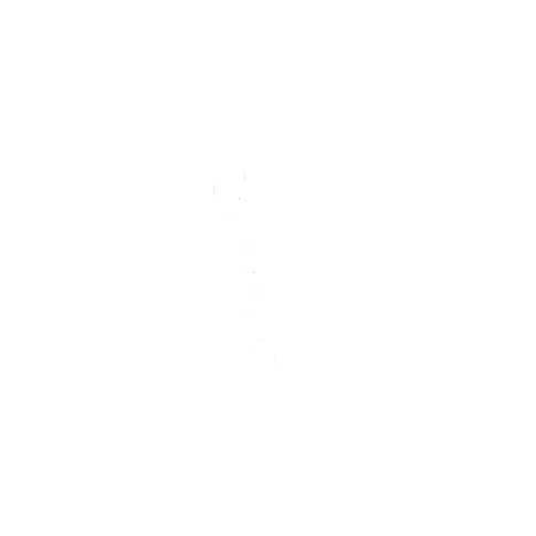 C[Si](C)(Oc1ccccc1C(F)(F)F)Oc1ccccc1C(F)(F)F